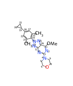 COc1nc(N2CCOCC2)nc2nn(-c3c(C)cc(C4CC4)cc3C)nc12